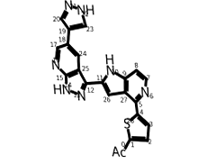 CC(=O)c1ccc(-c2nccc3[nH]c(-c4n[nH]c5ncc(-c6cn[nH]c6)cc45)cc23)s1